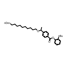 CCCCCCCCCCCCCCCCCCCCOC(C)c1ccc(C(=O)Oc2ccccc2CCCC)cc1